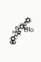 O=CNc1cc(C(=O)c2ccc(CCc3ccc4c(c3)OCO4)[nH]2)ccc1OCc1ccccc1